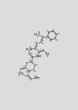 C/C=C1/CN(C(=O)NC(=C\CC)/C(N)=C\C=C(/C)c2ccccc2)CCN1/C=C\CCC